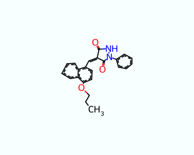 CCCOc1ccc(/C=C2/C(=O)NN(c3ccccc3)C2=O)c2ccccc12